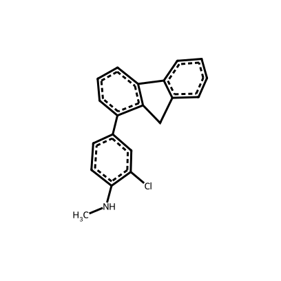 CNc1ccc(-c2cccc3c2Cc2ccccc2-3)cc1Cl